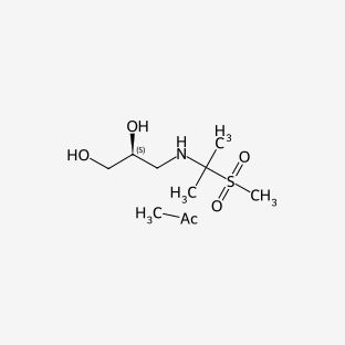 CC(C)(NC[C@H](O)CO)S(C)(=O)=O.CC(C)=O